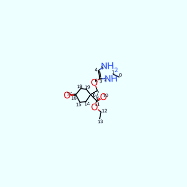 CCN/C(=C\N)OCC1(C(=O)OCC)CCC(=O)CC1